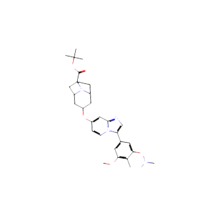 COc1cc(-c2cnc3cc(OC4CC5CC6(C(=O)OC(C)(C)C)CC(C4)N56)ccn23)cc(ON(C)F)c1C